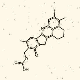 Cc1cc2n(c(=O)c1COC(=O)O)Cc1c-2nc2cc(F)c(C)c3c2c1CCC3